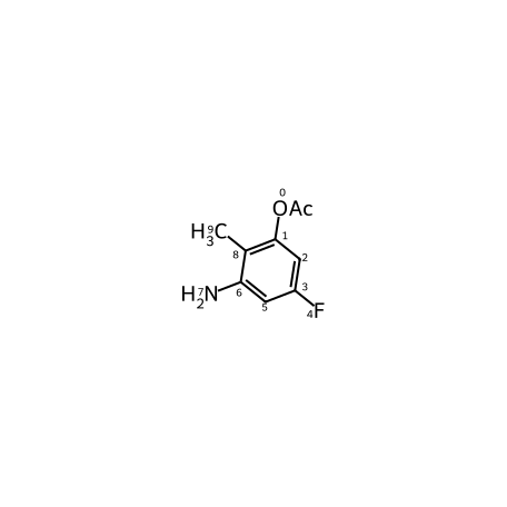 CC(=O)Oc1cc(F)cc(N)c1C